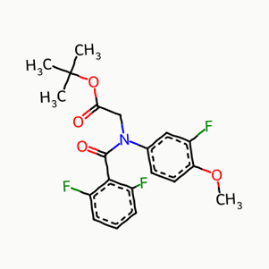 COc1ccc(N(CC(=O)OC(C)(C)C)C(=O)c2c(F)cccc2F)cc1F